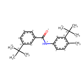 Cc1ccc(NC(=O)c2cccc(C(C)(C)C)c2)cc1C(C)(C)C